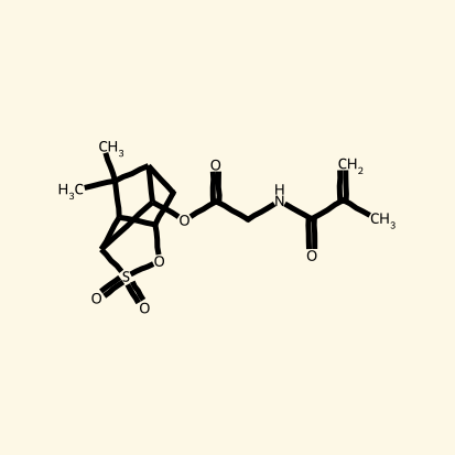 C=C(C)C(=O)NCC(=O)OC1C2CC3OS(=O)(=O)C1C3C2(C)C